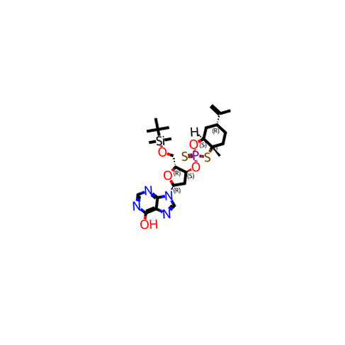 C=C(C)[C@@H]1CC[C@]2(C)SP(=S)(O[C@H]3C[C@H](n4cnc5c(O)ncnc54)O[C@@H]3CO[Si](C)(C)C(C)(C)C)O[C@H]2C1